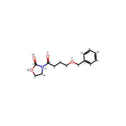 O=C(CCCOCc1ccccc1)N1CCOC1=O